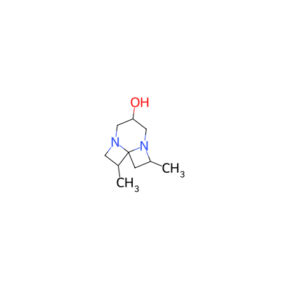 CC1CC23C(C)CN2CC(O)CN13